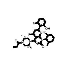 C=CC(=O)N1C[C@H](C)N(c2nc(=O)n(-c3c(C)cccc3C(C)C)c3nc(-c4c(O)cccc4F)cc(F)c23)C[C@H]1C